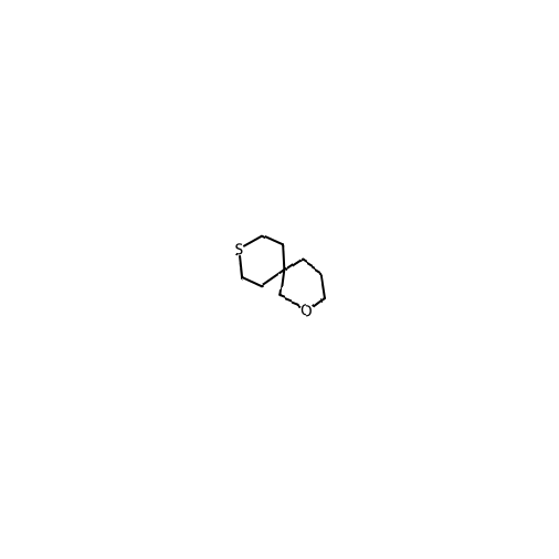 C1COCC2(C1)CCSCC2